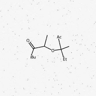 CCC(C)C(=O)C(C)OC(C)(CC)C(C)=O